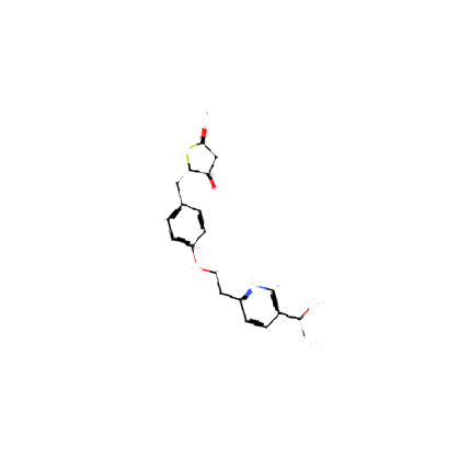 C[C@H](O)c1ccc(CCOc2ccc(C[C@H]3SC(=O)CC3=O)cc2)nc1